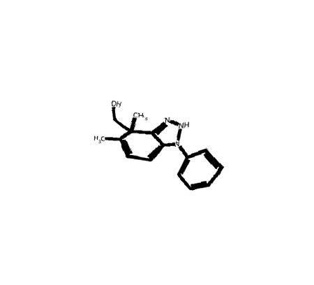 CC1=CC=C2C(=NNN2c2ccccc2)C1(C)CO